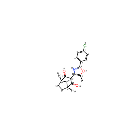 Cc1oc(-c2ccc(Cl)cc2)nc1C1C(=O)[C@@H]2CC[C@@H](C2)C1=O